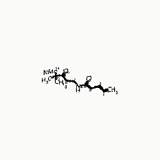 C=CCCC(=O)NCCC(=O)C(C)(C)NC